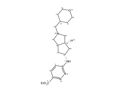 CCOC(=O)c1ccc(N[C@@H]2CC3CN(CC4CCOCC4)C[C@H]3C2)nn1